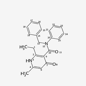 CCc1[nH]c(C)cc(=O)c1C(=O)N(Cc1ccccc1)c1ccccc1